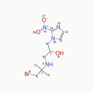 CC(C)(CBr)NCC(O)Cn1ccnc1[N+](=O)[O-]